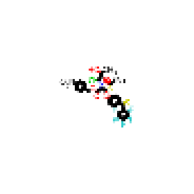 C[C@@H](O)[C@H]1C(=O)N(C(C(=O)OCc2ccc([N+](=O)[O-])cc2)=C(Oc2ccc(C(=S)c3c(F)c(F)c(F)c(F)c3F)cc2)SC(=O)C(C)(C)C)[C@H]1Cl